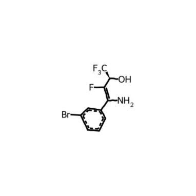 N/C(=C(/F)[C@H](O)C(F)(F)F)c1cccc(Br)c1